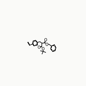 C=Cc1ccc(CC(C(=O)OCc2ccccc2)C(=O)OC(C)(C)C)cc1